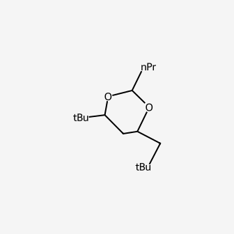 CCCC1OC(CC(C)(C)C)CC(C(C)(C)C)O1